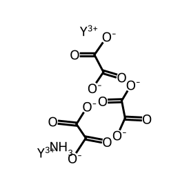 N.O=C([O-])C(=O)[O-].O=C([O-])C(=O)[O-].O=C([O-])C(=O)[O-].[Y+3].[Y+3]